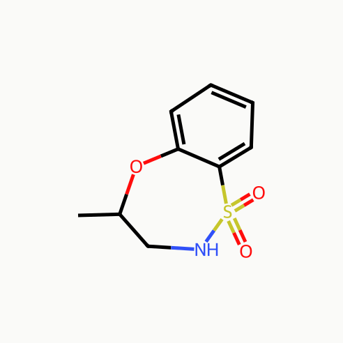 CC1CNS(=O)(=O)c2ccccc2O1